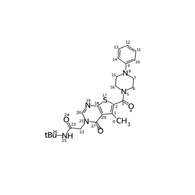 Cc1c(C(=O)N2CCN(c3ccccc3)CC2)sc2ncn(CC(=O)NC(C)(C)C)c(=O)c12